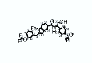 CCn1c(Cc2cccc(OC(F)F)c2)cc2cc(C(=O)N[C@@H](CO)c3ccc([SH](=O)=O)cn3)ccc21